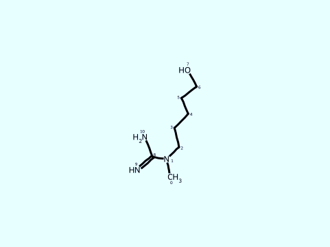 CN(CCCCCO)C(=N)N